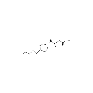 CCCCCC1CCN(C(=O)C(N)CC(=O)OC)CC1